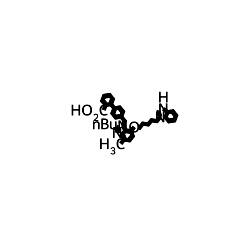 CCCCc1nc2c(C)ccc(OCCCCCN3CNC4C=CC=CC43)c2n1Cc1ccc(-c2ccccc2C(=O)O)cc1